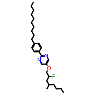 CCCCCCCCCCc1ccc(-c2ncc(OCC(F)CC(C)CCCC)cn2)cc1